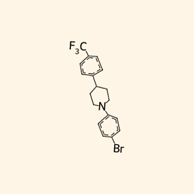 FC(F)(F)c1ccc(C2CCN(c3ccc(Br)cc3)CC2)cc1